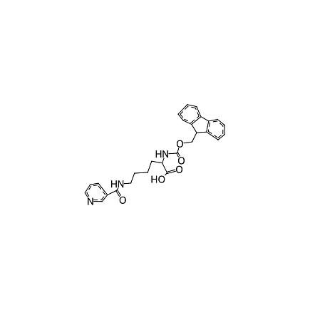 O=C(NC(CCCCNC(=O)c1cccnc1)C(=O)O)OCC1c2ccccc2-c2ccccc21